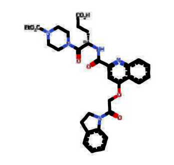 CCOC(=O)N1CCN(C(=O)[C@H](CCC(=O)O)NC(=O)c2cc(OCC(=O)N3CCc4ccccc43)c3ccccc3n2)CC1